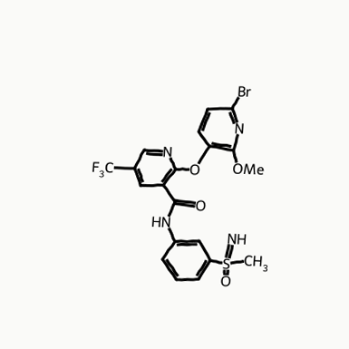 COc1nc(Br)ccc1Oc1ncc(C(F)(F)F)cc1C(=O)Nc1cccc(S(C)(=N)=O)c1